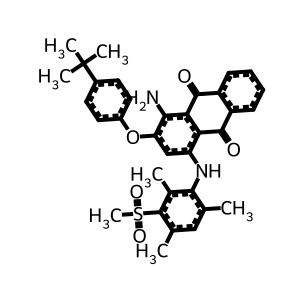 Cc1cc(C)c(S(C)(=O)=O)c(C)c1Nc1cc(Oc2ccc(C(C)(C)C)cc2)c(N)c2c1C(=O)c1ccccc1C2=O